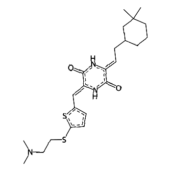 CN(C)CCSc1ccc(/C=c2\[nH]c(=O)/c(=C/CC3CCCC(C)(C)C3)[nH]c2=O)s1